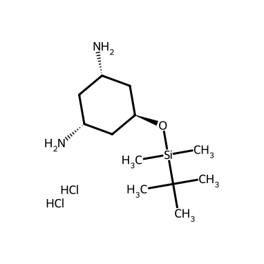 CC(C)(C)[Si](C)(C)O[C@H]1C[C@H](N)C[C@H](N)C1.Cl.Cl